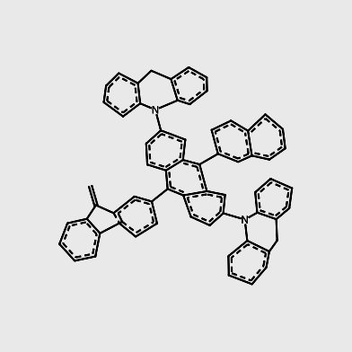 C=C1c2ccccc2-c2ccc(-c3c4ccc(N5c6ccccc6Cc6ccccc65)cc4c(-c4ccc5ccccc5c4)c4cc(N5c6ccccc6Cc6ccccc65)ccc34)cc21